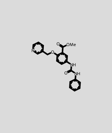 COC(=O)c1cc(NC(=O)Nc2ccccc2)ccc1OCc1cccnc1